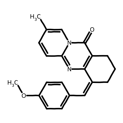 COc1ccc(/C=C2/CCCc3c2nc2ccc(C)cn2c3=O)cc1